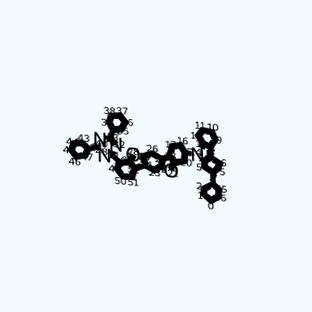 c1ccc(-c2ccc3c4ccccc4n(-c4ccc5c(c4)oc4cc6c(cc45)oc4c(-c5nc(-c7ccccc7)nc(-c7ccccc7)n5)cccc46)c3c2)cc1